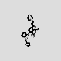 O=C(C=CN1CCOCC1)c1ccc(Sc2ccccc2OCc2cccs2)c(C(F)(F)F)c1C(F)(F)F